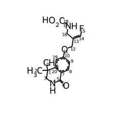 CC1(C)CNC(=O)c2ccc(OCC(=CF)CNC(=O)O)cc21